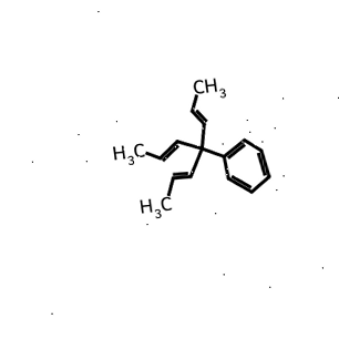 CC=CC(C=CC)(C=CC)c1ccccc1